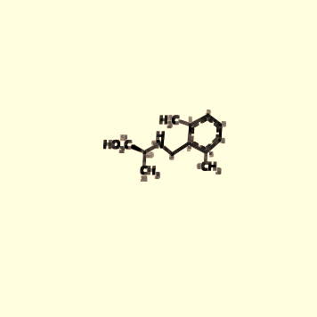 Cc1cccc(C)c1CN[C@@H](C)C(=O)O